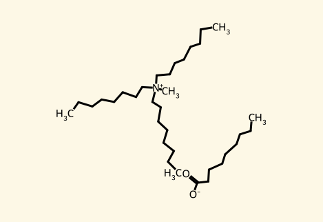 CCCCCCCCC(=O)[O-].CCCCCCCC[N+](C)(CCCCCCCC)CCCCCCCC